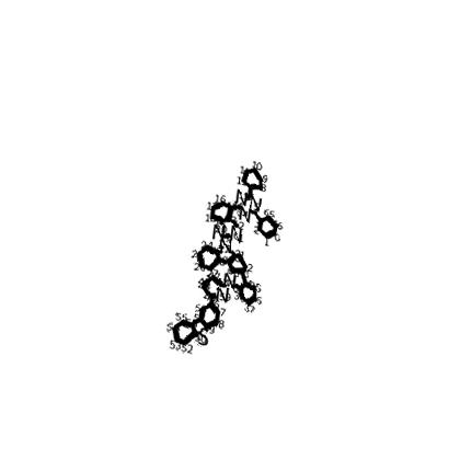 c1ccc(-c2nc(-c3ccccc3)nc(-c3cccc4nc(-n5c6ccccc6c6c5ccc5c7ccccc7n(-c7cccc(-c8ccc9sc%10ccccc%10c9c8)n7)c56)ncc34)n2)cc1